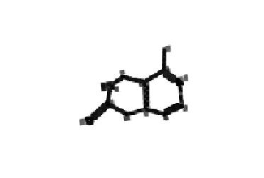 Cc1nccc2c1CNC(=O)C2